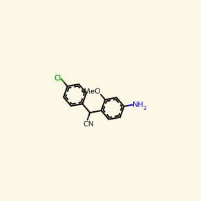 COc1cc(N)ccc1C(C#N)c1ccc(Cl)cc1